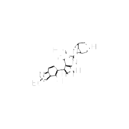 CCn1cc2c(Cl)c(-c3c[nH]c4nc(N5CC6CNCC5C6)n(C)c(=O)c34)ccc2n1.Cl